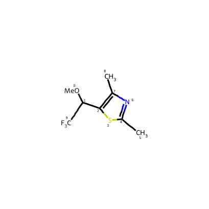 COC(c1sc(C)nc1C)C(F)(F)F